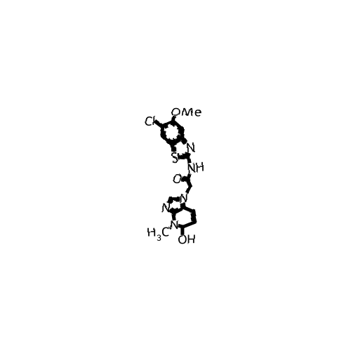 COc1cc2nc(NC(=O)Cn3cnc4c3C=CC(O)N4C)sc2cc1Cl